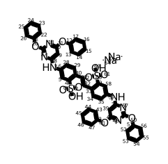 O=S(=O)(O)c1cc(Nc2cc(Oc3ccccc3)nc(Oc3ccccc3)n2)ccc1C=Cc1ccc(Nc2cc(Oc3ccccc3)nc(Oc3ccccc3)n2)cc1S(=O)(=O)O.[Na].[Na]